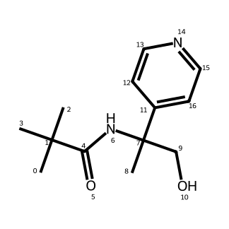 CC(C)(C)C(=O)NC(C)(CO)c1ccncc1